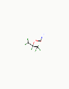 NC(=O)OC(F)(C(F)F)C(F)(F)F